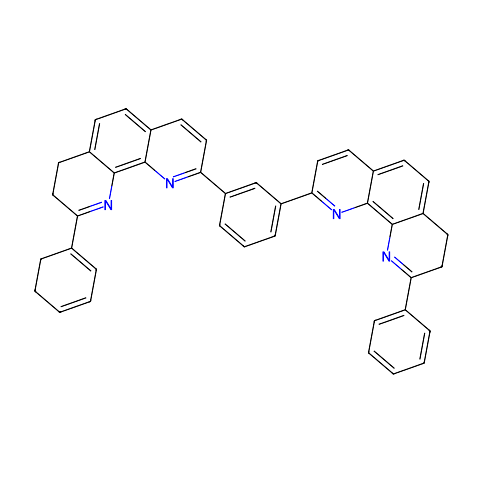 C1=CCCC(C2=Nc3c(ccc4ccc(-c5cccc(-c6ccc7ccc8c(c7n6)N=C(c6ccccc6)CC8)c5)nc34)CC2)=C1